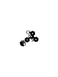 CC1(C)OB(c2ccc(-c3nc4c(Cl)cccc4c4c3sc3ccccc34)cc2)OC1(C)C